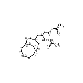 CC(=O)OOCC(CN1CCN2CCNCCN(CC2)CC1)OOC(C)=O